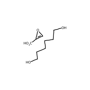 O=C(O)C1=CO1.OCCCCCCO